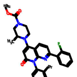 CCCCOC(=O)N1CCN(c2cc(=O)n(-c3ccccc3C(C)C)c3nc(-c4ccccc4F)ccc23)C(C)C1